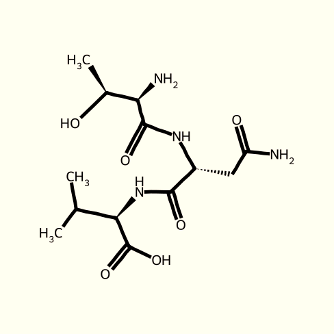 CC(C)[C@@H](NC(=O)[C@@H](CC(N)=O)NC(=O)[C@H](N)[C@H](C)O)C(=O)O